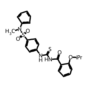 CC(C)Oc1ccccc1C(=O)NC(=S)Nc1ccc(S(=O)(=O)N(C)c2ccccc2)cc1